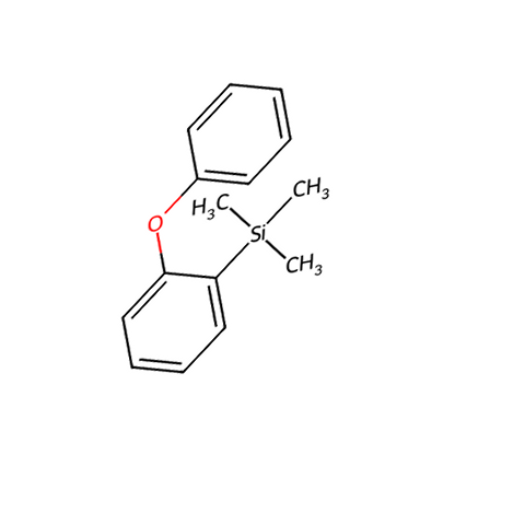 C[Si](C)(C)c1ccccc1Oc1ccccc1